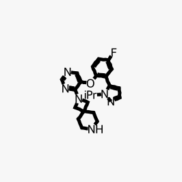 CC(C)n1nccc1-c1cc(F)ccc1Oc1cncnc1N1CC2(CCNCC2)C1